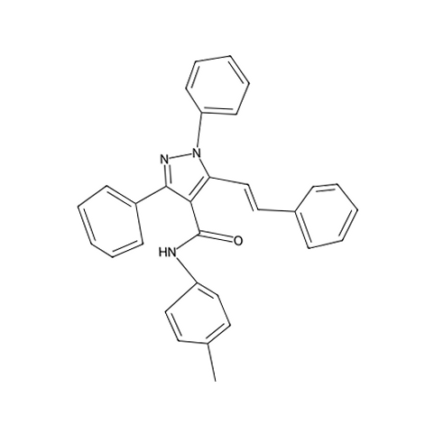 Cc1ccc(NC(=O)c2c(-c3ccccc3)nn(-c3ccccc3)c2C=Cc2ccccc2)cc1